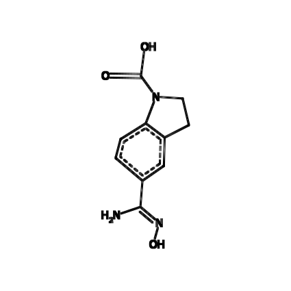 NC(=NO)c1ccc2c(c1)CCN2C(=O)O